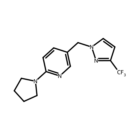 FC(F)(F)c1ccn(Cc2ccc(N3CCCC3)nc2)n1